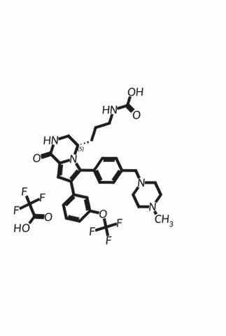 CN1CCN(Cc2ccc(-c3c(-c4cccc(OC(F)(F)F)c4)cc4n3[C@@H](CCCNC(=O)O)CNC4=O)cc2)CC1.O=C(O)C(F)(F)F